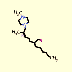 CCCCCCC(CI)CC/C=C(/C)CN1CCN(C)CC1